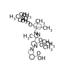 Cc1c(-c2ccc(N3CCc4cccc(C(=O)O)c4C3)nc2C(=O)OC(C)(C)C)cnn1CC12CC3(C)CC(C)(C1)CC(OCCO[Si](C)(C)C(C)(C)C)(C3)C2